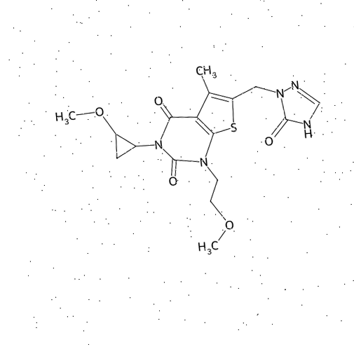 COCCn1c(=O)n(C2CC2OC)c(=O)c2c(C)c(Cn3nc[nH]c3=O)sc21